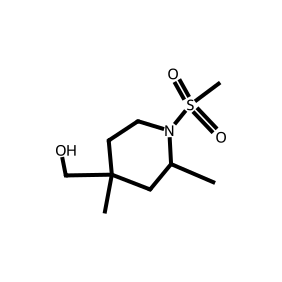 CC1CC(C)(CO)CCN1S(C)(=O)=O